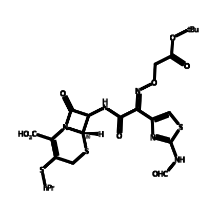 CCCSC1=C(C(=O)O)N2C(=O)C(NC(=O)C(=NOCC(=O)OC(C)(C)C)c3csc(NC=O)n3)[C@@H]2SC1